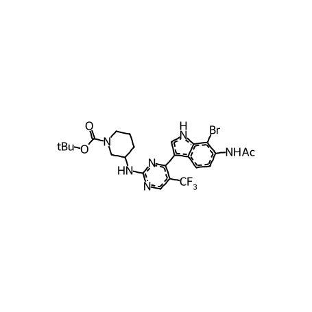 CC(=O)Nc1ccc2c(-c3nc(NC4CCCN(C(=O)OC(C)(C)C)C4)ncc3C(F)(F)F)c[nH]c2c1Br